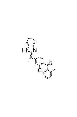 Cc1ccccc1C(=S)c1ccc(N(C)c2nc3ccccc3[nH]2)cc1Cl